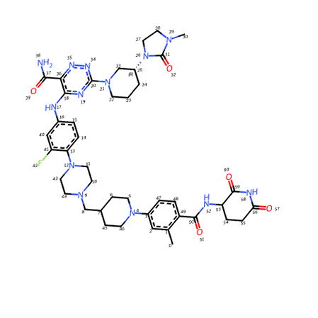 Cc1cc(N2CCC(CN3CCN(c4ccc(Nc5nc(N6CCC[C@@H](N7CCN(C)C7=O)C6)nnc5C(N)=O)cc4F)CC3)CC2)ccc1C(=O)NC1CCC(=O)NC1=O